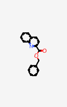 O=C(OCc1ccccc1)c1ccc2ccccc2n1